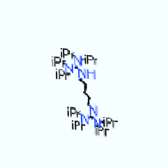 CC(C)N(C(=NCCCCCNC(N(C(C)C)C(C)C)=[N+](C(C)C)C(C)C)N(C(C)C)C(C)C)C(C)C